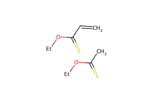 C=CC(=S)OCC.CCOC(C)=S